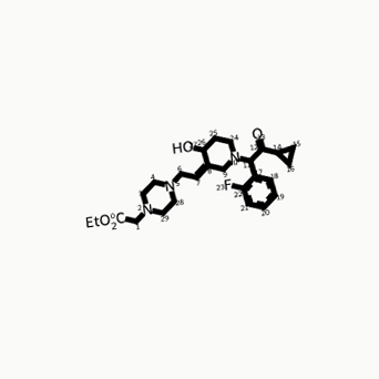 CCOC(=O)CN1CCN(C/C=C2/CN(C(C(=O)C3CC3)c3ccccc3F)CCC2O)CC1